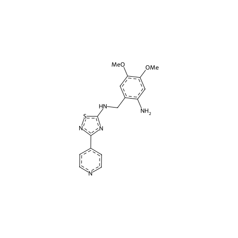 COc1cc(N)c(CNc2nc(-c3ccncc3)ns2)cc1OC